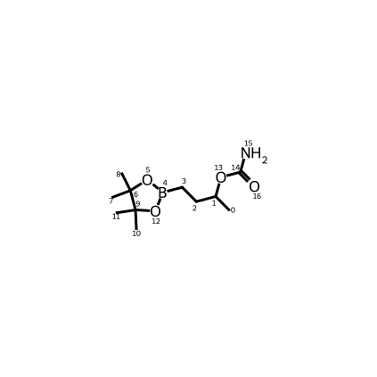 CC(CCB1OC(C)(C)C(C)(C)O1)OC(N)=O